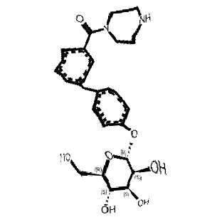 O=C(c1cccc(-c2ccc(O[C@H]3O[C@H](CO)[C@@H](O)[C@H](O)[C@@H]3O)cc2)c1)N1CCNCC1